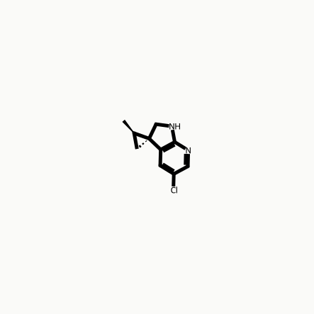 C[C@@H]1C[C@@]12CNc1ncc(Cl)cc12